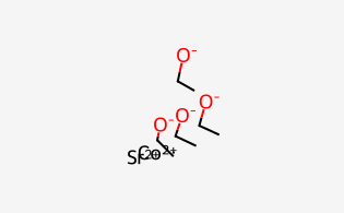 CC[O-].CC[O-].CC[O-].CC[O-].[Co+2].[Sr+2]